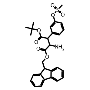 CC(C)(C)OC(=O)C(c1cccc(OS(C)(=O)=O)c1)C(N)C(=O)OCC1c2ccccc2-c2ccccc21